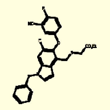 CCOC(=O)CSCc1c(Oc2ccc(F)c(C#N)c2)c(F)cc2c1ccn2Sc1ccccc1